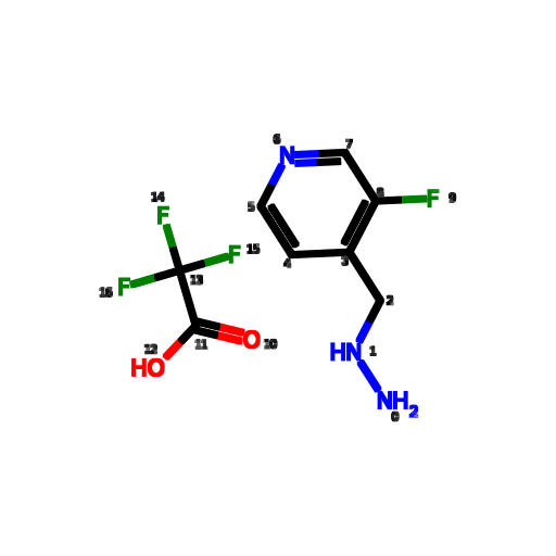 NNCc1ccncc1F.O=C(O)C(F)(F)F